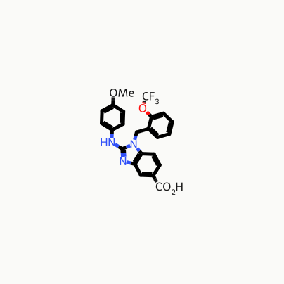 COc1ccc(Nc2nc3cc(C(=O)O)ccc3n2Cc2ccccc2OC(F)(F)F)cc1